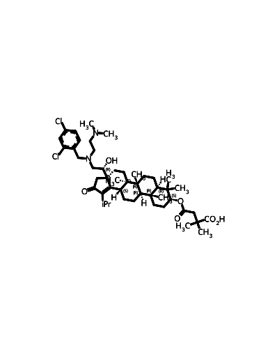 CC(C)C1=C2[C@H]3CC[C@@H]4[C@@]5(C)CC[C@H](OC(=O)CC(C)(C)C(=O)O)C(C)(C)[C@@H]5CC[C@@]4(C)[C@]3(C)CC[C@@]2([C@@H](O)CN(CCN(C)C)Cc2ccc(Cl)cc2Cl)CC1=O